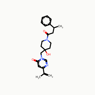 C=C(C)c1cc(=O)n(CC2(O)CCN(C(=O)CC(C)c3ccccc3)CC2)cn1